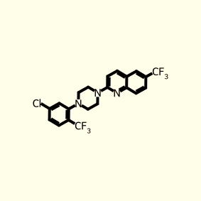 FC(F)(F)c1ccc2nc(N3CCN(c4cc(Cl)ccc4C(F)(F)F)CC3)ccc2c1